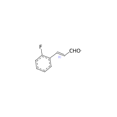 O=[C]/C=C/c1ccccc1F